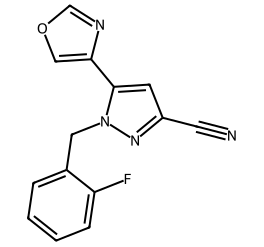 N#Cc1cc(-c2cocn2)n(Cc2ccccc2F)n1